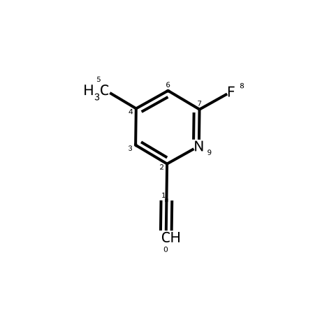 C#Cc1cc(C)cc(F)n1